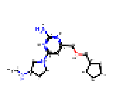 CN[C@@H]1CCN(c2cc(COCC3CCCC3)nc(N)n2)C1